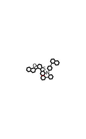 c1ccc(-c2ccccc2N(c2ccc(-c3cccc4ccccc34)cc2)c2cccc3c2sc2ccc4oc5c6ccccc6ccc5c4c23)cc1